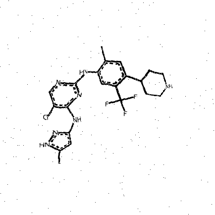 Cc1cc(Nc2nc(Nc3cc(C(F)(F)F)c(C4CCNCC4)cc3C)ncc2Cl)n[nH]1